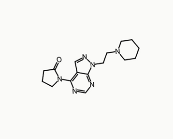 O=C1CCCN1c1ncnc2c1cnn2CCN1CCCCC1